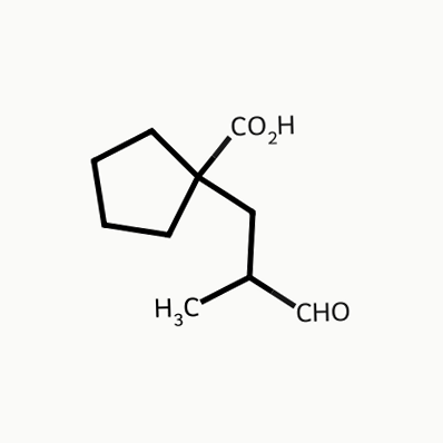 CC(C=O)CC1(C(=O)O)CCCC1